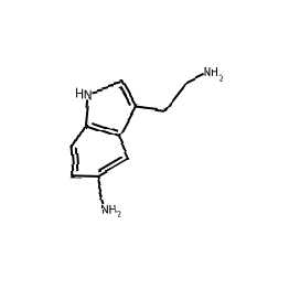 NCCc1c[nH]c2ccc(N)cc12